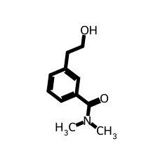 CN(C)C(=O)c1cccc(CCO)c1